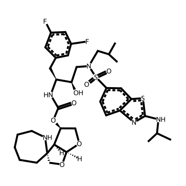 CC(C)CN(C[C@@H](O)[C@H](Cc1cc(F)cc(F)c1)NC(=O)O[C@H]1CO[C@H]2OC[C@@]3(CCCCCN3)[C@H]21)S(=O)(=O)c1ccc2nc(NC(C)C)sc2c1